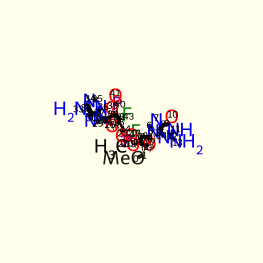 COC[C@H]1O[C@@H](n2cnc3c(=O)[nH]c(N)nc32)[C@H](F)[C@@H]1OP(C)(=O)OC[C@H]1O[C@@H](n2cnc3c(N)ncnc32)[C@H](OP=O)[C@@H]1F